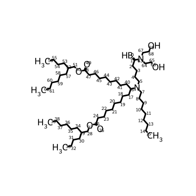 B=C(CCCCN(CCCCCCCCC)C(CCCCCCCCC(=O)OCC(CCCC)CCCCCC)CCCCCCCCC(=O)OCC(CCCC)CCCCCC)N(CCO)CCO